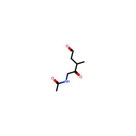 CC(=O)NCC(=O)C(C)CC=O